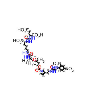 CC(C)(COC(C)(C)CCOC(=O)n1ccc(CCNC(=O)CNc2ccc([N+](=O)[O-])cc2[N+](=O)[O-])c1)NC(=O)NCCCC[C@H](NC(=O)N[C@@H](CCC(=O)O)C(=O)O)C(=O)O